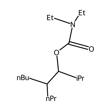 CCCCC(CCC)C(OC(=O)N(CC)CC)C(C)C